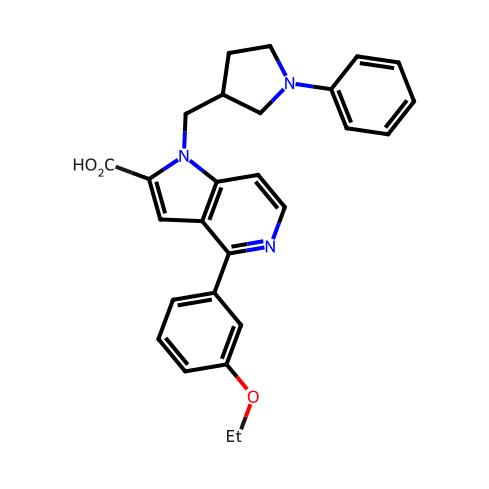 CCOc1cccc(-c2nccc3c2cc(C(=O)O)n3CC2CCN(c3ccccc3)C2)c1